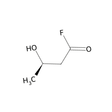 C[C@@H](O)CC(=O)F